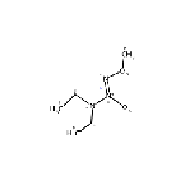 CCN(CC)/[N+]([O-])=N/OC